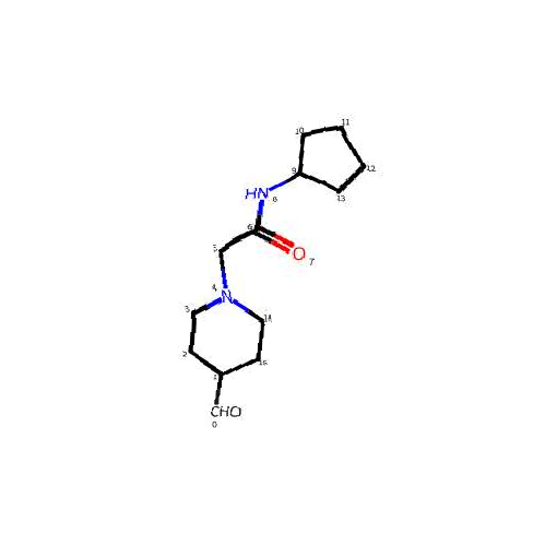 O=CC1CCN(CC(=O)NC2CCCC2)CC1